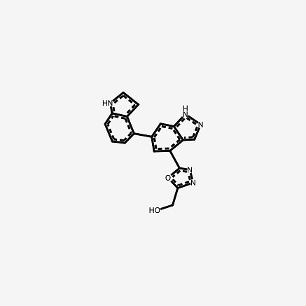 OCc1nnc(-c2cc(-c3cccc4[nH]ccc34)cc3[nH]ncc23)o1